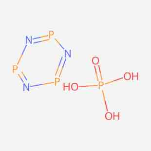 O=P(O)(O)O.n1pnpnp1